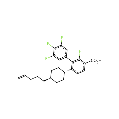 C=CCCC[C@H]1CC[C@H](c2ccc(C(=O)O)c(F)c2-c2cc(F)c(F)c(F)c2)CC1